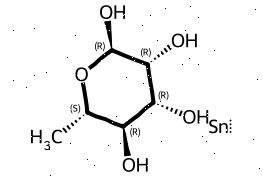 C[C@@H]1O[C@@H](O)[C@H](O)[C@H](O)[C@H]1O.[Sn]